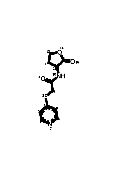 O=C(CSc1ccncc1)NC1CCOC1=O